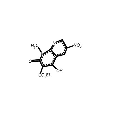 CCOC(=O)c1c(O)c2cc([N+](=O)[O-])cnc2n(C)c1=O